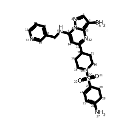 Bc1cnn2c(NCc3cccnc3)cc(C3CCN(S(=O)(=O)C4=CC=C(N)CC4)CC3)nc12